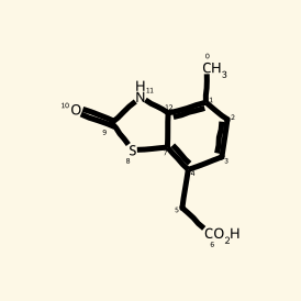 Cc1ccc(CC(=O)O)c2sc(=O)[nH]c12